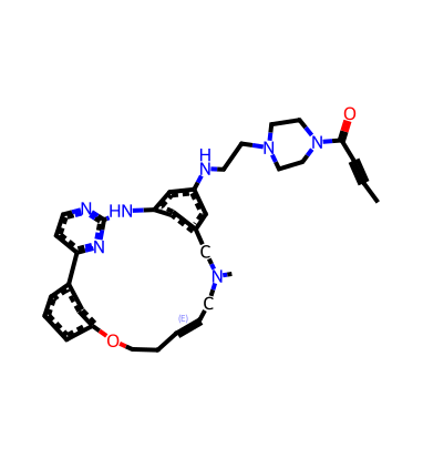 CC#CC(=O)N1CCN(CCNc2cc3cc(c2)Nc2nccc(n2)-c2cccc(c2)OCC/C=C/CN(C)C3)CC1